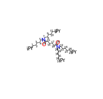 CC(C)CCCCCN(CCCCCC(C)C)C(=O)CCCCC(=O)N(CCCCCC(C)C)CCCCCC(C)C